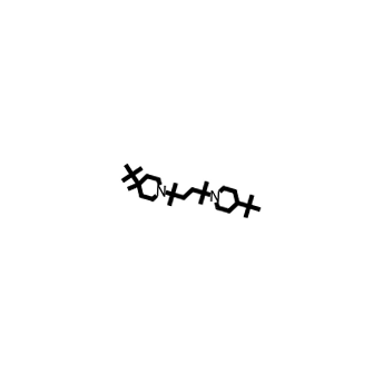 CC(C)(C)C1CCN(C(C)(C)CCC(C)(C)N2CCC(C)(C(C)(C)C)CC2)CC1